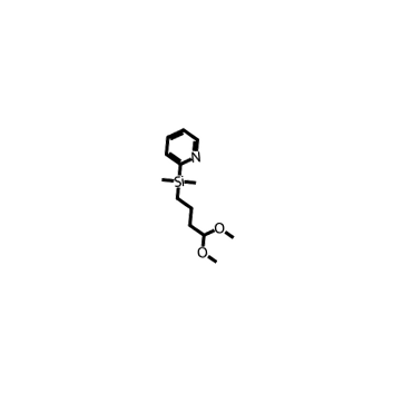 COC(CCC[Si](C)(C)c1ccccn1)OC